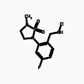 CN1CCN(c2cc(F)ccc2CNCl)S1(=O)=O